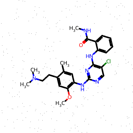 CNC(=O)c1ccccc1Nc1nc(Nc2cc(C)c(CCN(C)C)cc2OC)ncc1Cl